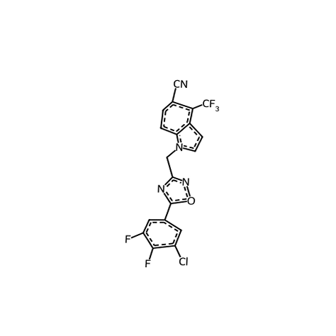 N#Cc1ccc2c(ccn2Cc2noc(-c3cc(F)c(F)c(Cl)c3)n2)c1C(F)(F)F